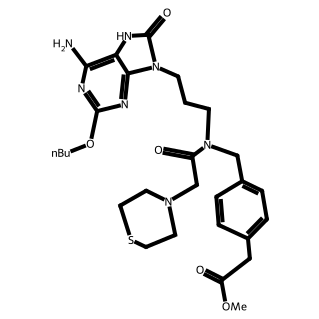 CCCCOc1nc(N)c2[nH]c(=O)n(CCCN(Cc3ccc(CC(=O)OC)cc3)C(=O)CN3CCSCC3)c2n1